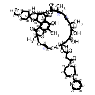 C/C1=C/C=C/C(C)[C@H](O)CC(O)C[C@H](OC(=O)CC(=O)N2CCCN(c3ccccn3)CC2)CC/C=C/O[C@@]2(C)Oc3c(C)c(O)c4c(c3C2=O)C2=NC3(CCN(CC(C)C)CC3)NC2=C(NC1=O)C4=O